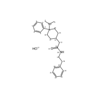 CN(C)C1(c2ccccc2)CCC(CC(=O)NCCc2ccccc2)CC1.Cl